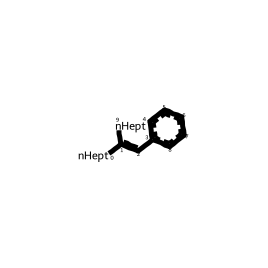 CCCCCCCC(=Cc1ccccc1)CCCCCCC